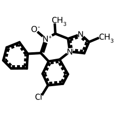 Cc1cn2c(n1)C(C)[N+]([O-])=C(c1ccccc1)c1cc(Cl)ccc1-2